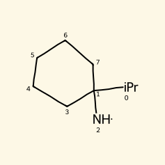 CC(C)C1([NH])CCCCC1